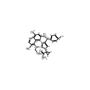 CC(C)(C)CNc1c(C#N)cnc2c(Cl)cc(N[C@@H](c3ccc(F)cc3)c3cn(C4(C(N)=O)CC4)nn3)cc12